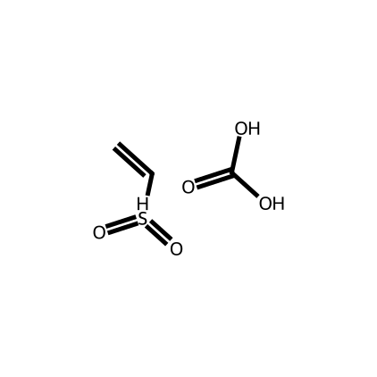 C=C[SH](=O)=O.O=C(O)O